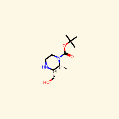 C[C@@H]1[C@H](CO)NCCN1C(=O)OC(C)(C)C